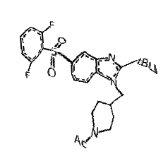 CC(=O)N1CCC(Cn2c(C(C)(C)C)nc3cc(S(=O)(=O)c4c(F)cccc4F)ccc32)CC1